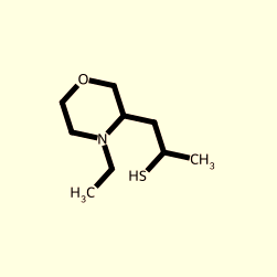 CCN1CCOCC1CC(C)S